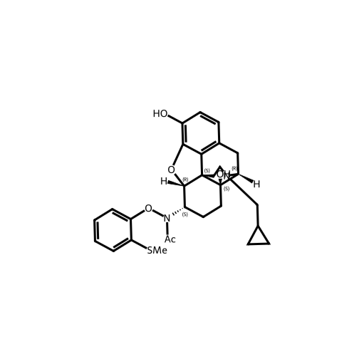 CSc1ccccc1ON(C(C)=O)[C@H]1CC[C@@]2(O)[C@H]3Cc4ccc(O)c5c4[C@@]2(CCN3CC2CC2)[C@H]1O5